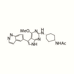 COc1nc(N[C@H]2CC[C@@H](NC(C)=O)CC2)nc2[nH]cc(-c3ccc4nnccc4c3)c12